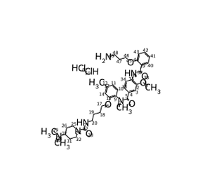 COc1cc(C(=O)N(C)c2ccc(C)cc2OCCCCNC(=O)N2CCC(N(C)C)CC2)ccc1NC(=O)c1ccccc1OCCCN.Cl.Cl